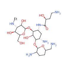 CCN[C@@H]1C(O)[C@@H](O[C@@H]2C(O)C(O[C@H]3OC(CN)CCC3N)[C@@H](N)C[C@H]2NC(=O)[C@@H](O)CCN)OC(CO)[C@H]1O